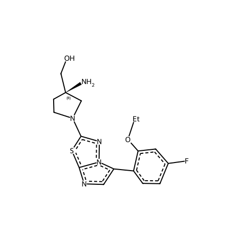 CCOc1cc(F)ccc1-c1cnc2sc(N3CC[C@](N)(CO)C3)nn12